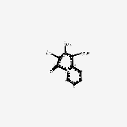 CCOC(=O)c1c(SC)c(C#N)c(=O)n2ccccc12